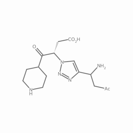 CC(=O)CC(N)c1cn([C@@H](CC(=O)O)C(=O)C2CCNCC2)nn1